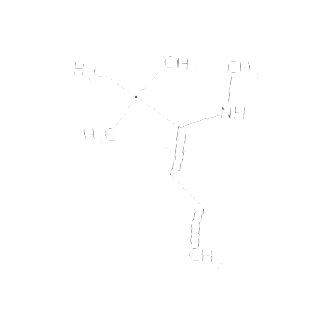 C=C/C=C(\NC)C(C)(C)C